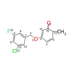 CC1C=CC(OCc2cc(F)cc(Cl)c2)=CC1=O